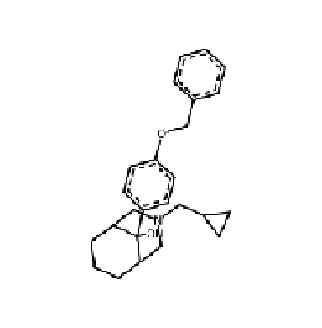 OC1(c2ccc(OCc3ccccc3)cc2)C2CCCC1CN(CC1CC1)C2